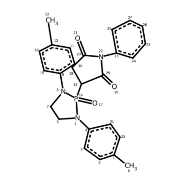 Cc1ccc(N2CCN(c3ccc(C)cc3)P2(=O)C2CC(=O)N(c3ccccc3)C2=O)cc1